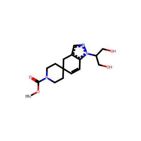 CC(C)(C)OC(=O)N1CCC2(C=Cc3c(cnn3C(CO)CO)C2)CC1